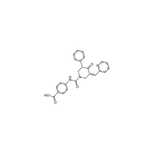 O=C(O)c1ccc(NC(=O)N2C/C(=C/c3ccccn3)C(=O)C(c3ccccc3)C2)cc1